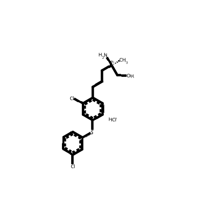 C[C@](N)(CO)CCCc1ccc(Sc2cccc(Cl)c2)cc1Cl.Cl